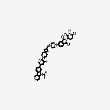 O=C1CCC(N2C(=O)c3ccc(N4CCN(CC5CC6(CCN(c7ncc(-c8ccc9c%10cnccc%10n(C(F)F)c9c8)cc7F)CC6)C5)CC4)cc3C2=O)C(=O)N1